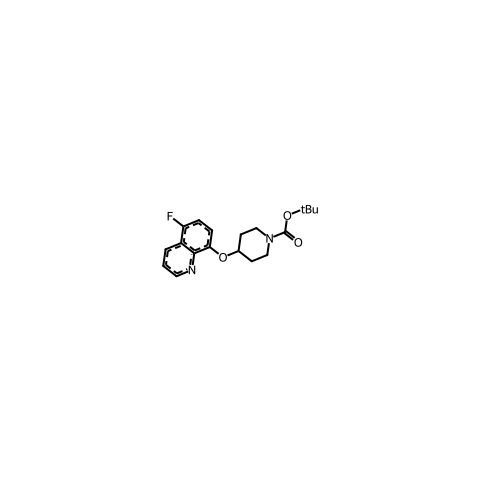 CC(C)(C)OC(=O)N1CCC(Oc2ccc(F)c3cccnc23)CC1